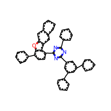 c1ccc(-c2cc(-c3ccccc3)cc(-c3nc(-c4ccccc4)nc(-c4ccc(-c5ccccc5)c5oc6cc7ccccc7cc6c45)n3)c2)cc1